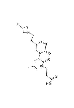 CC(C)C[C@@H](C(=O)NCCC(=O)O)n1cc(CCN2CC(F)C2)cnc1=O